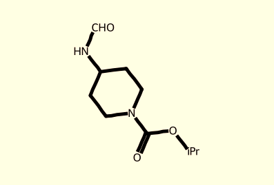 CC(C)OC(=O)N1CCC(NC=O)CC1